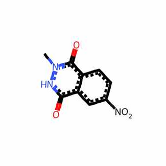 Cn1[nH]c(=O)c2cc([N+](=O)[O-])ccc2c1=O